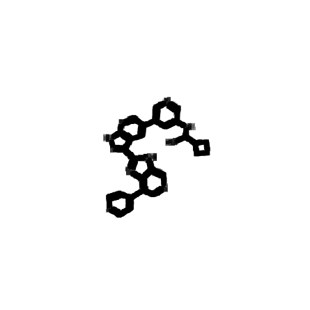 OC(Nc1cncc(-c2cnc3[nH]nc(-c4nc5c(-c6ccncc6)cncc5[nH]4)c3c2)c1)C1CCC1